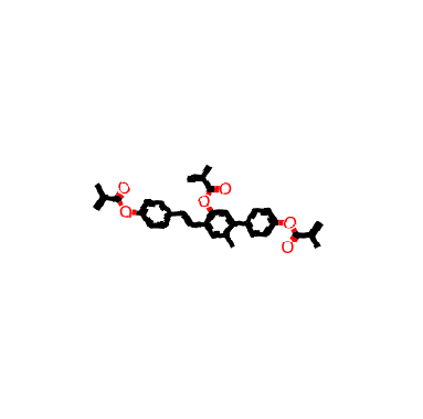 C=C(C)C(=O)Oc1ccc(/C=C/c2cc(C)c(-c3ccc(OC(=O)C(=C)C)cc3)cc2OC(=O)C(=C)C)cc1